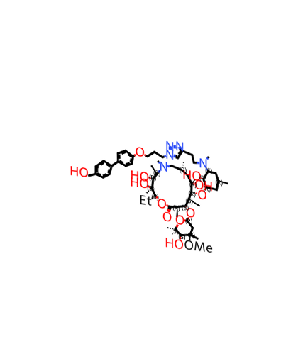 CC[C@H]1OC(=O)[C@H](C)[C@@H](O[C@H]2C[C@@](C)(OC)[C@@H](O)[C@H](C)O2)[C@H](C)[C@@H](O[C@@H]2C[C@H](C)C[C@H](N(C)CCc3cn(CCCOc4ccc(-c5ccc(CO)cc5)cc4)nn3)[C@H]2O)[C@](C)(O)C[C@@H](C)CN(C)[C@H](C)[C@@H](O)[C@]1(C)O